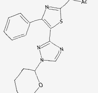 CC(=O)Cc1nc(-c2ccccc2)c(-c2ncn(C3CCCCO3)n2)s1